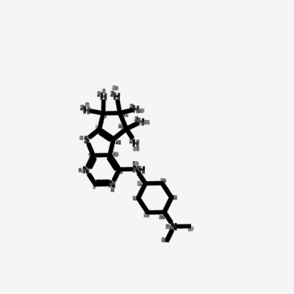 [2H]C1([2H])c2sc3ncnc(NC4CCC(N(C)C)CC4)c3c2C([2H])([2H])C1([2H])[2H]